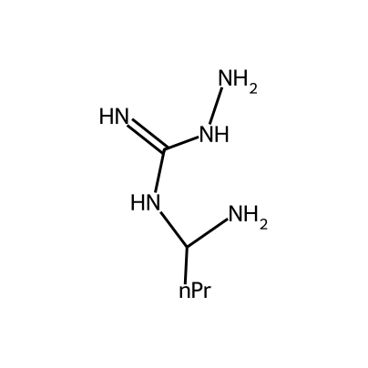 CCCC(N)NC(=N)NN